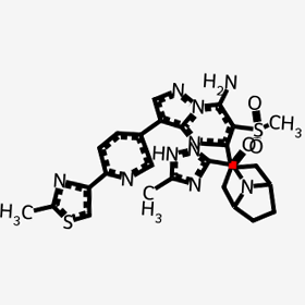 Cc1nc(C(=O)N2C3CCC2CC(c2nc4c(-c5ccc(-c6csc(C)n6)nc5)cnn4c(N)c2S(C)(=O)=O)C3)n[nH]1